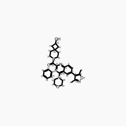 Cc1noc(C)c1-c1ccc2nc(C(=O)N3CCC4(CC3)CC(O)C4)nc(N3CCOC[C@@H]3c3ccccc3)c2c1